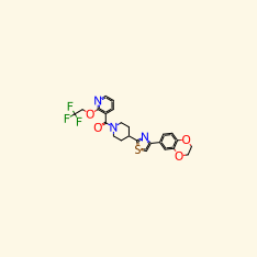 O=C(c1cccnc1OCC(F)(F)F)N1CCC(c2nc(-c3ccc4c(c3)OCCO4)cs2)CC1